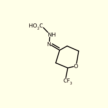 O=C(O)N/N=C1\CCOC(C(F)(F)F)C1